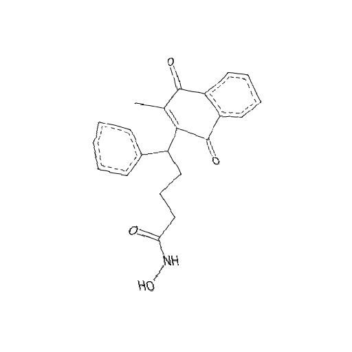 CC1=C(C(CCCC(=O)NO)c2ccccc2)C(=O)c2ccccc2C1=O